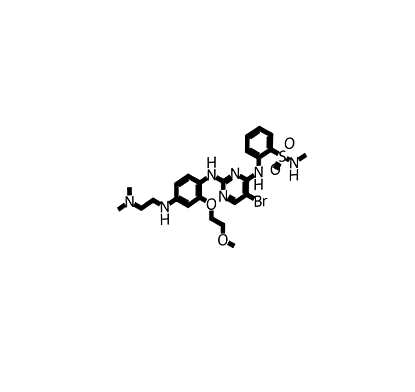 CNS(=O)(=O)c1ccccc1Nc1nc(Nc2ccc(NCCN(C)C)cc2OCCOC)ncc1Br